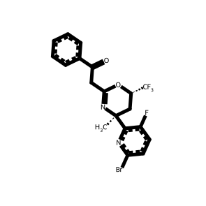 C[C@@]1(c2nc(Br)ccc2F)C[C@@H](C(F)(F)F)OC(CC(=O)c2ccccc2)=N1